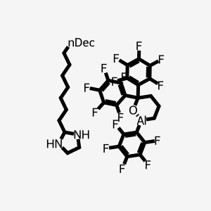 CCCCCCCCCCCCCCCCCC1NCCN1.Fc1c(F)c(F)[c]([Al]2[CH2]CCC(c3c(F)c(F)c(F)c(F)c3F)(c3c(F)c(F)c(F)c(F)c3F)[O]2)c(F)c1F